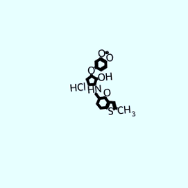 Cc1cc2c(s1)CCC(CNC1CCC(Oc3ccc4c(c3)OCO4)C1O)C2=O.Cl